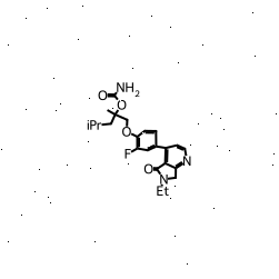 CCN1Cc2nccc(-c3ccc(OCC(C)(CC(C)C)OC(N)=O)c(F)c3)c2C1=O